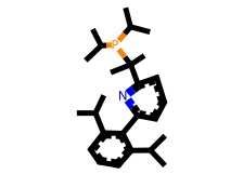 CC(C)c1cccc(C(C)C)c1-c1cccc(C(C)(C)P(C(C)C)C(C)C)n1